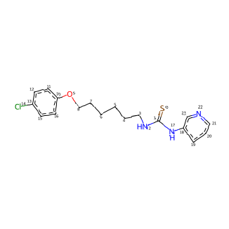 S=C(NCCCCCCOc1ccc(Cl)cc1)Nc1cccnc1